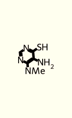 CNc1ncnc(S)c1N